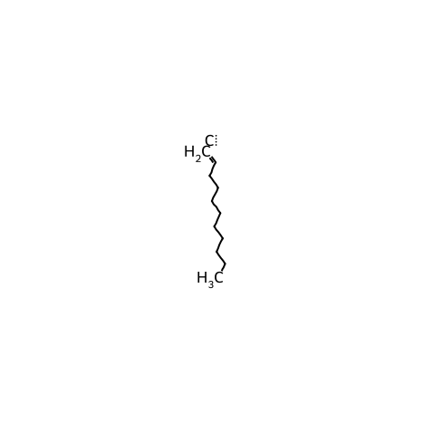 C=CCCCCCCCCC.[C]